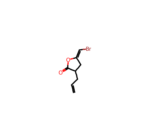 C=CCC1CC(=CBr)OC1=O